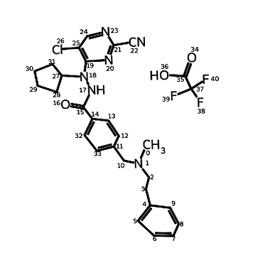 CN(CCc1ccccc1)Cc1ccc(C(=O)NN(c2nc(C#N)ncc2Cl)C2CCCC2)cc1.O=C(O)C(F)(F)F